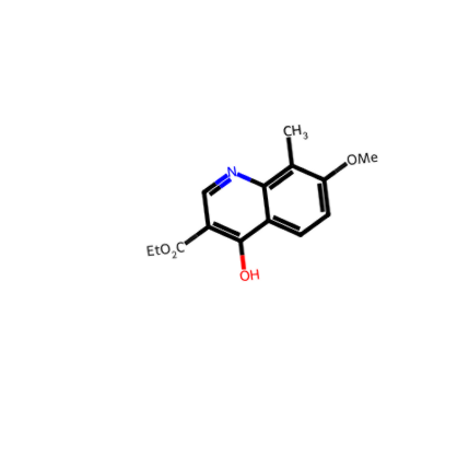 CCOC(=O)c1cnc2c(C)c(OC)ccc2c1O